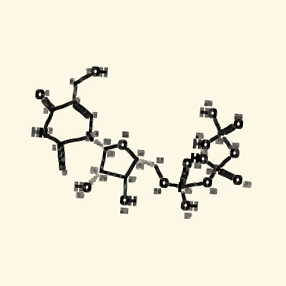 C=C1NC(=O)C(CO)=CN1[C@@H]1O[C@H](COP(=O)(O)OP(=O)(O)OP(=O)(O)O)C(O)[C@@H]1O